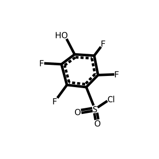 O=S(=O)(Cl)c1c(F)c(F)c(O)c(F)c1F